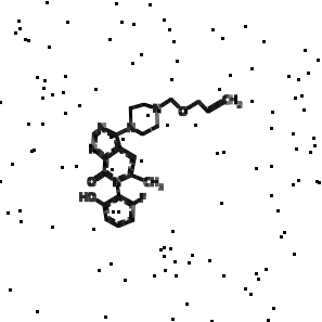 C=CCOCN1CCN(c2ncnc3c(=O)n(-c4c(O)cccc4F)c(C)cc23)CC1